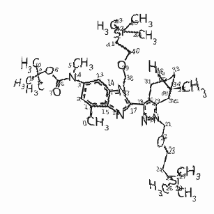 Cc1cc(N(C)C(=O)OC(C)(C)C)cc2c1nc(-c1nn(COCC[Si](C)(C)C)c3c1C[C@@H]1C[C@]1(C)C3)n2COCC[Si](C)(C)C